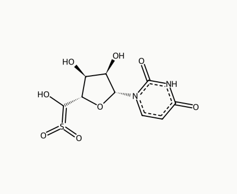 O=c1ccn([C@@H]2O[C@H](C(O)=S(=O)=O)[C@@H](O)[C@H]2O)c(=O)[nH]1